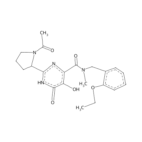 CCOc1ccccc1CN(C)C(=O)c1nc(C2CCCN2C(C)=O)[nH]c(=O)c1O